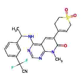 CC(Nc1ncnc2c1cc(C1=CCS(=O)(=O)CC1)c(=O)n2C)c1cccc(C(F)(F)C#N)c1